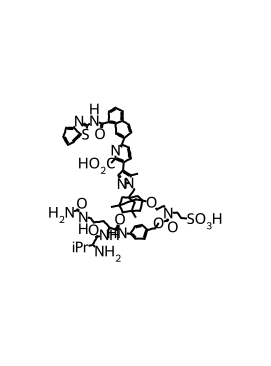 Cc1c(-c2ccc(-c3ccc4cccc(C(=O)Nc5nc6ccccc6s5)c4c3)nc2C(=O)O)cnn1CC12CC3(C)CC(C)(C1)CC(OCCN(CCS(=O)(=O)O)C(=O)OCc1ccc(NC(=O)C(CCCNC(N)=O)NC(=O)C(N)C(C)C)cc1)(C3)C2